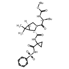 CC(C)(C)OC(=O)N[C@H](C(=O)N1C[C@H]2C([C@H]1C(=O)NC1(C(=O)NS(=O)(=O)c3ccccc3)CC1)C2(C)C)C(C)(C)C